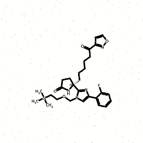 C[Si](C)(C)CCOCn1cc(-c2ccccc2F)nc1[C@]1(CCCCCC(=O)c2ccon2)CCC(=O)N1